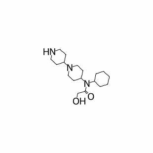 O=C(CO)N(C1CCCCC1)C1CCN(C2CCNCC2)CC1